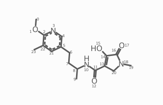 COc1ncc(CCC(C)NC(=O)C2=C(O)C(=O)N(C)C2)cc1C